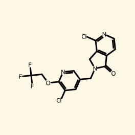 O=C1c2ccnc(Cl)c2CN1Cc1cnc(OCC(F)(F)F)c(Cl)c1